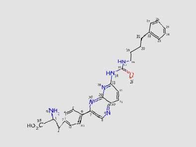 NC(Cc1ccc(-c2cnc3ccc(NC(=O)NCCCCc4ccccc4)nc3n2)cc1)C(=O)O